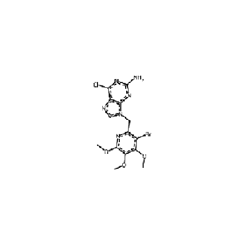 COc1nc(Cn2cnc3c(Cl)nc(N)nc32)c(Br)c(OC)c1OC